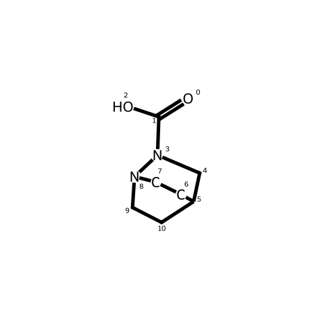 O=C(O)N1CC2CCN1CC2